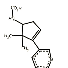 CC1(C)C(c2cccnc2)=CCC1NC(=O)O